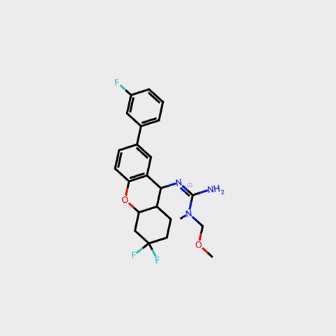 COCN(C)/C(N)=N\C1c2cc(-c3cccc(F)c3)ccc2OC2CC(F)(F)CCC21